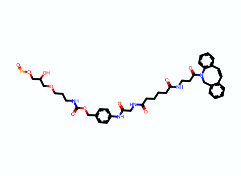 O=POCC(O)COCCCNC(=O)OCc1ccc(NC(=O)CNC(=O)CCCCC(=O)NCCC(=O)N2Cc3ccccc3/C=C\c3ccccc32)cc1